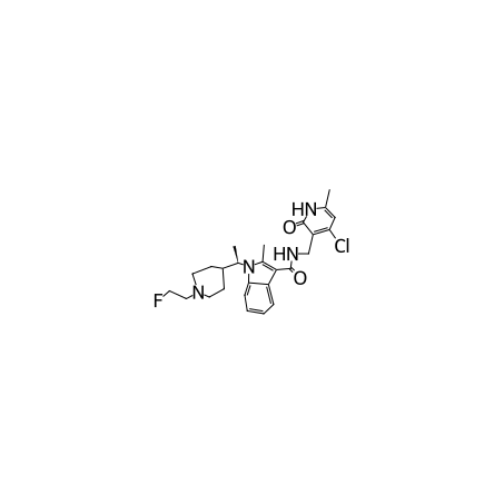 Cc1cc(Cl)c(CNC(=O)c2c(C)n([C@H](C)C3CCN(CCF)CC3)c3ccccc23)c(=O)[nH]1